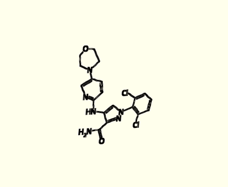 NC(=O)c1nn(-c2c(Cl)cccc2Cl)cc1Nc1ccc(N2CCOCC2)cn1